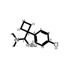 CCCCC(N(C)C)C1(c2ccc(Cl)cc2)CCC1